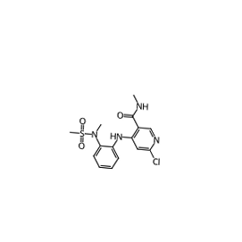 CNC(=O)c1cnc(Cl)cc1Nc1ccccc1N(C)S(C)(=O)=O